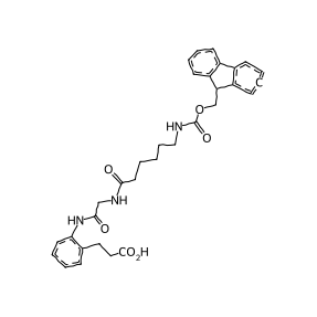 O=C(O)CCc1ccccc1NC(=O)CNC(=O)CCCCCNC(=O)OCC1c2ccccc2-c2ccccc21